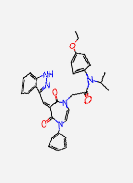 CCOc1ccc(N(C(=O)CN2C=CN(c3ccccc3)C(=O)C(=Cc3n[nH]c4ccccc34)C2=O)C(C)C)cc1